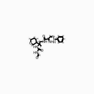 CC(CNC(=O)C(=N)/C=N\Nc1ccccc1)(NC(=O)NC=O)C1CCCOC1